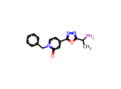 CC(P)c1nnc(-c2ccn(Cc3ccccc3)c(=O)c2)o1